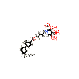 COc1cccc(-c2ccc(COCCCCCN3C[C@H](O)[C@@H](O)C(O)[C@H]3CO)cc2)c1